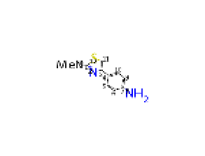 CNc1nc(-c2ccc(N)cc2)cs1